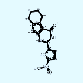 O=C1NC(c2ccc([N+](=O)[O-])o2)Nc2sc3c(c21)CCCC3